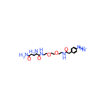 [N-]=[N+]=Nc1ccc(CC(=O)NCCOCCOCCNC(=O)C(N)CCC(N)=O)cc1